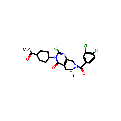 CNC(=O)C1CCC(n2c(Cl)nc3c(c2=O)C[C@@H](C)N(C(=O)c2ccc(Cl)c(Cl)c2)C3)CC1